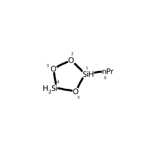 CCC[SiH]1OO[SiH2]O1